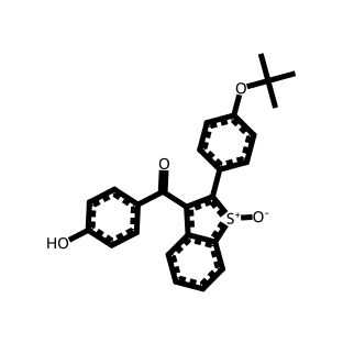 CC(C)(C)Oc1ccc(-c2c(C(=O)c3ccc(O)cc3)c3ccccc3[s+]2[O-])cc1